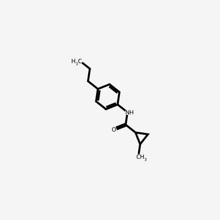 CCCc1ccc(NC(=O)C2CC2C)cc1